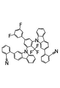 N#Cc1ccccc1-c1ccc2c3ccccc3n(-c3cc(-c4cc(F)cc(F)c4)cc(-n4c5ccccc5c5ccc(-c6ccccc6C#N)cc54)c3C(F)(F)F)c2c1